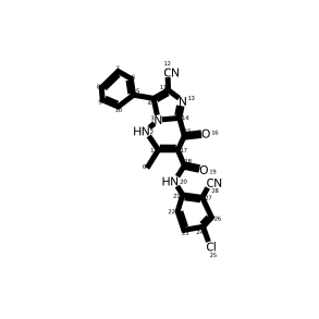 Cc1[nH]n2c(-c3ccccc3)c(C#N)nc2c(=O)c1C(=O)Nc1ccc(Cl)cc1C#N